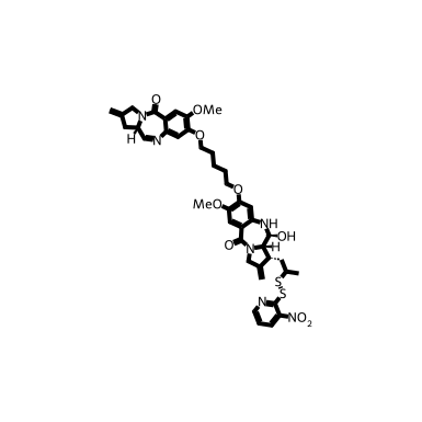 C=C1C[C@H]2C=Nc3cc(OCCCCCOc4cc5c(cc4OC)C(=O)N4CC(=C)[C@@H](CC(C)SSc6ncccc6[N+](=O)[O-])[C@H]4[C@H](O)N5)c(OC)cc3C(=O)N2C1